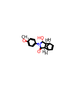 COc1ccc(N2C(=O)[C@H]3[C@@H]([C@H]2O)[C@H]2C=C[C@@H]3C2)cc1